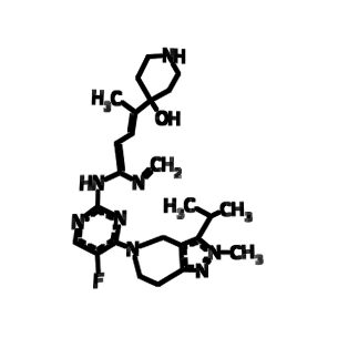 C=N/C(=C\C=C(/C)C1(O)CCNCC1)Nc1ncc(F)c(N2CCc3nn(C)c(C(C)C)c3C2)n1